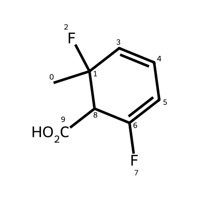 CC1(F)C=CC=C(F)C1C(=O)O